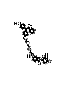 CCC(=C(c1ccc(O)cc1)c1ccc(OCCOCCOCCCNc2ccc3c(c2)CN(C2CCC(=O)NC2=O)C3=O)cc1)c1ccccc1